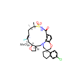 CO[C@@H]1/C(F)=C/C[C@H](C)[C@@H](C)S(=O)(=O)NC(=O)c2ccc3c(c2)N(C[C@@H]2CCO[C@H]21)C[C@@]1(CCCc2cc(Cl)ccc21)CO3